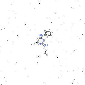 C/C=C/CNc1nc(C)cc(Nc2ccccc2)n1